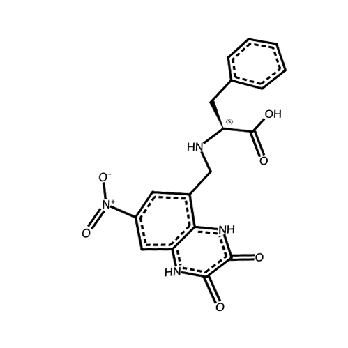 O=C(O)[C@H](Cc1ccccc1)NCc1cc([N+](=O)[O-])cc2[nH]c(=O)c(=O)[nH]c12